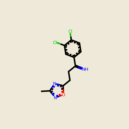 Cc1noc(CCC(=N)c2ccc(Cl)c(Cl)c2)n1